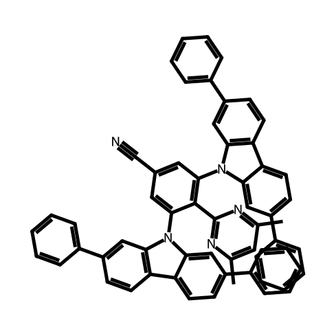 Cc1cc(C)nc(-c2c(-n3c4cc(-c5ccccc5)ccc4c4ccc(-c5ccccc5)cc43)cc(C#N)cc2-n2c3cc(-c4ccccc4)ccc3c3ccc(-c4ccccc4)cc32)n1